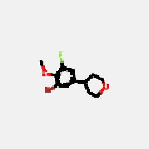 COc1c(F)cc(C2CCOCC2)cc1Br